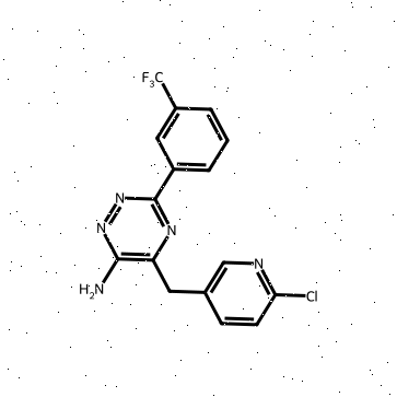 Nc1nnc(-c2cccc(C(F)(F)F)c2)nc1Cc1ccc(Cl)nc1